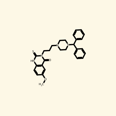 COc1ccc2[nH]c(=S)n(CCCN3CCN(C(c4ccccc4)c4ccccc4)CC3)c(=O)c2c1